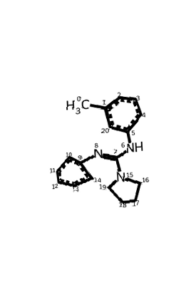 Cc1cccc(NC(=Nc2ccccc2)N2CCCC2)c1